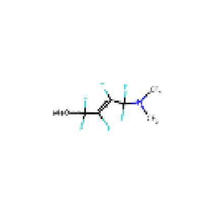 COC(F)(F)/C(F)=C(\F)C(F)(F)N(C(F)(F)F)C(F)(F)F